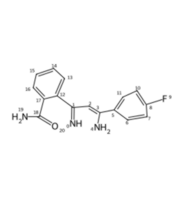 N=C(/C=C(\N)c1ccc(F)cc1)c1ccccc1C(N)=O